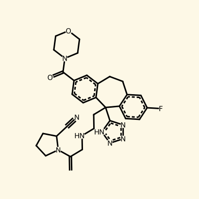 C=C(CNCCC1(c2nnn[nH]2)c2ccc(F)cc2CCc2cc(C(=O)N3CCOCC3)ccc21)N1CCCC1C#N